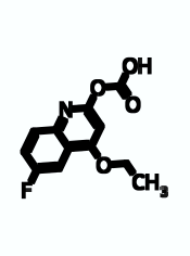 CCOc1cc(OC(=O)O)nc2ccc(F)cc12